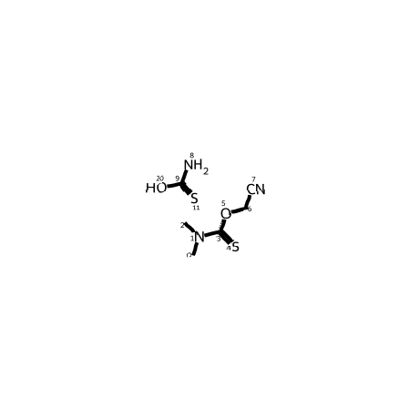 CN(C)C(=S)OCC#N.NC(O)=S